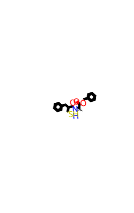 C[C@H](NC(=O)C(CS)Cc1ccccc1)C(=O)OCc1ccccc1